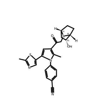 Cc1ncc(-c2cc(C(=O)CN3[C@H]4CC[C@@H]3[C@H](O)C4)c(C)n2-c2ccc(C#N)cc2)s1